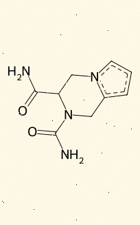 NC(=O)C1Cn2cccc2CN1C(N)=O